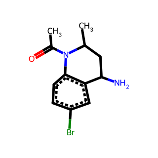 CC(=O)N1c2ccc(Br)cc2C(N)CC1C